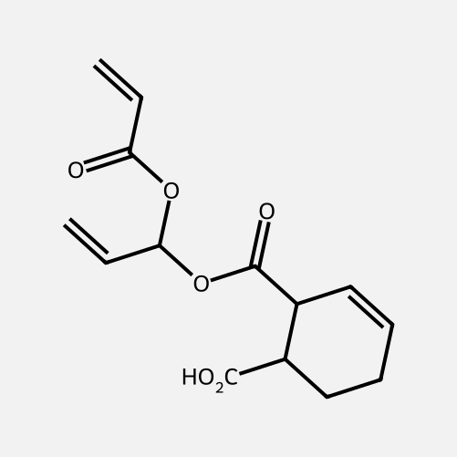 C=CC(=O)OC(C=C)OC(=O)C1C=CCCC1C(=O)O